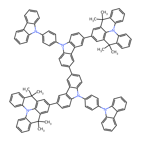 CC1(C)c2ccccc2N2c3ccccc3C(C)(C)c3cc(-c4ccc5c(c4)c4cc(-c6ccc7c(c6)c6cc(-c8cc9c%10c(c8)C(C)(C)c8ccccc8N%10c8ccccc8C9(C)C)ccc6n7-c6ccc(-n7c8ccccc8c8ccccc87)cc6)ccc4n5-c4ccc(-n5c6ccccc6c6ccccc65)cc4)cc1c32